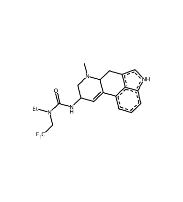 CCN(CC(F)(F)F)C(=O)NC1C=C2c3cccc4[nH]cc(c34)CC2N(C)C1